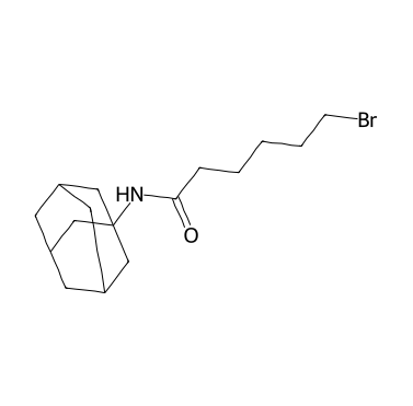 O=C(CCCCCBr)NC12CC3CC(CC(C3)C1)C2